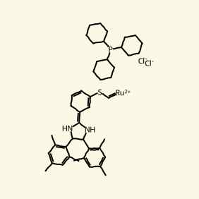 C1CCC(P(C2CCCCC2)C2CCCCC2)CC1.Cc1cc(C)c(C2NC(=C3C=C(S[CH]=[Ru+2])C=CC3)NC2c2c(C)cc(C)cc2C)c(C)c1.[Cl-].[Cl-]